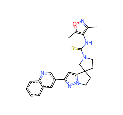 Cc1noc(C)c1NC(=S)N1CCC2(CCn3nc(-c4cnc5ccccc5c4)cc32)C1